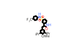 COc1c(C(C)C)cc(C=C2C(=O)Nc3ccc(S(=O)(=O)Nc4ccc(C(F)(F)F)cc4)cc32)cc1C(C)C